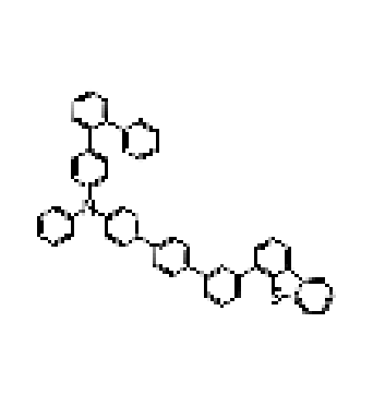 c1ccc(-c2ccccc2-c2ccc(N(c3ccccc3)c3ccc(-c4ccc(-c5cccc(-c6cccc7c6sc6ccccc67)c5)cc4)cc3)cc2)cc1